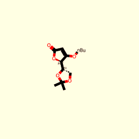 CCCCOC1=CC(=O)O[C@@H]1[C@@H]1COC(C)(C)O1